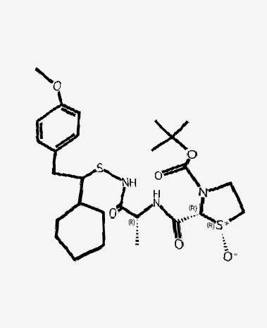 COc1ccc(CC(SNC(=O)[C@@H](C)NC(=O)[C@@H]2N(C(=O)OC(C)(C)C)CC[S@+]2[O-])C2CCCCC2)cc1